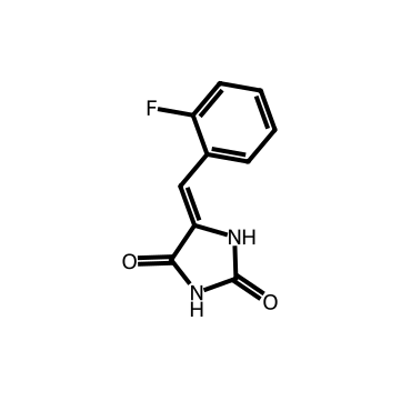 O=C1NC(=O)/C(=C/c2ccccc2F)N1